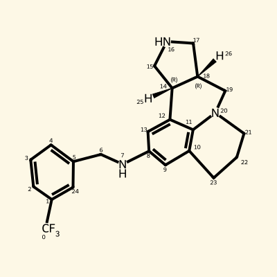 FC(F)(F)c1cccc(CNc2cc3c4c(c2)[C@@H]2CNC[C@@H]2CN4CCC3)c1